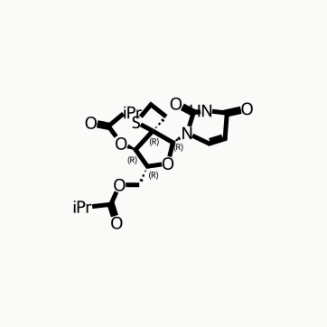 CC(C)C(=O)OC[C@H]1O[C@@H](n2ccc(=O)[nH]c2=O)[C@@]2(CCS2)[C@@H]1OC(=O)C(C)C